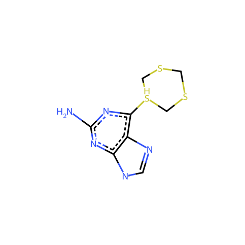 Nc1nc2c(c([SH]3CSCSC3)n1)N=C[N]2